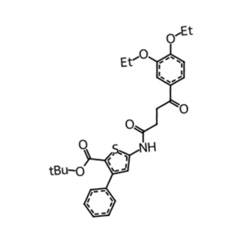 CCOc1ccc(C(=O)CCC(=O)Nc2cc(-c3ccccc3)c(C(=O)OC(C)(C)C)s2)cc1OCC